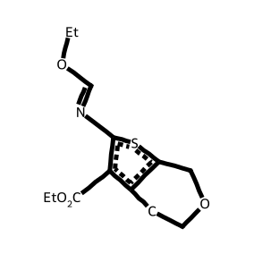 CCO/C=N/c1sc2c(c1C(=O)OCC)CCOC2